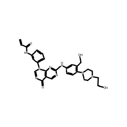 C=CC(=O)Nc1cccc(-n2cnc(=O)c3cnc(Nc4ccc(N5CCN(CCO)CC5)c(CO)c4)nc32)c1